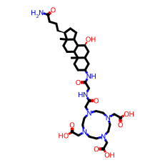 CC12CCC(NC(=O)CNC(=O)CN3CCN(CC(=O)O)CCN(CC(=O)O)CCN(CC(=O)O)CC3)CC1C[C@H](O)C1C2CCC2(C)C1CC[C@@H]2CCCC(N)=O